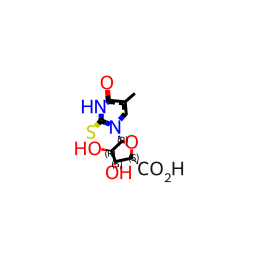 Cc1cn([C@@H]2O[C@H](C(=O)O)[C@@H](O)[C@H]2O)c(=S)[nH]c1=O